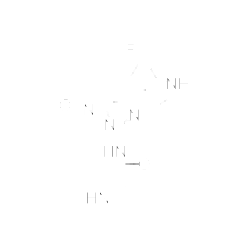 O=C(NCc1nc(-c2cc(F)cc3[nH]ccc23)cc(N2CCOCC2)n1)C1CCNCC1